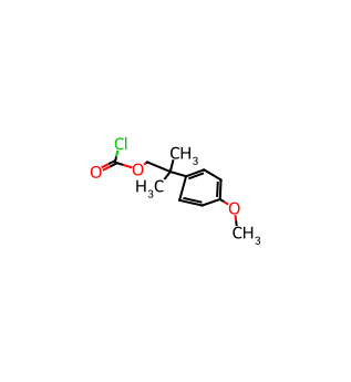 COc1ccc(C(C)(C)COC(=O)Cl)cc1